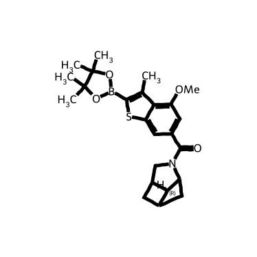 COc1cc(C(=O)N2CC3CC4CC2[C@H]43)cc2sc(B3OC(C)(C)C(C)(C)O3)c(C)c12